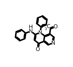 O=C(c1cncc2c(=O)cc(Nc3ccccc3)n(-c3ccccc3)c12)C(F)(F)F